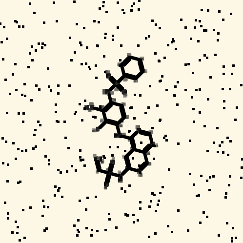 C=CS(=O)(=O)Nc1cc2c(Nc3ccc(NS(=O)(=O)c4ccccc4)c(C)c3F)ncnc2cn1